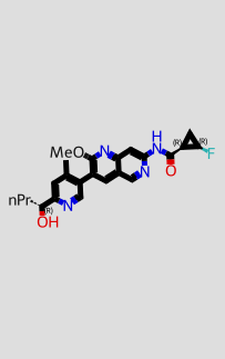 CCC[C@@H](O)c1cc(C)c(-c2cc3cnc(NC(=O)[C@H]4C[C@H]4F)cc3nc2OC)cn1